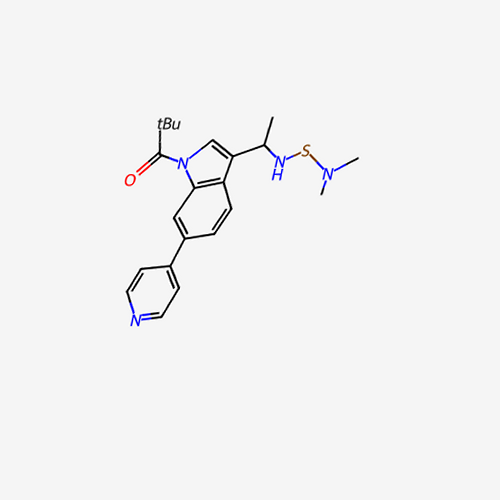 CC(NSN(C)C)c1cn(C(=O)C(C)(C)C)c2cc(-c3ccncc3)ccc12